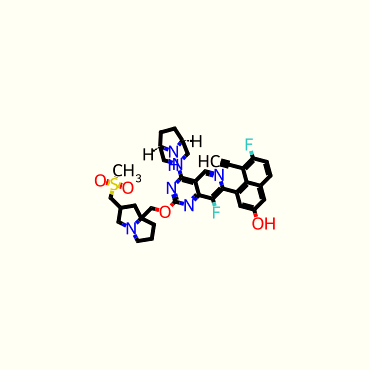 C#Cc1c(F)ccc2cc(O)cc(-c3ncc4c(N5C[C@H]6CC[C@@H](C5)N6)nc(OCC56CCCN5CC(CS(C)(=O)=O)C6)nc4c3F)c12